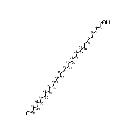 OCCCCCCCCCCCCCCCCCCCCCCCCCCCCCCCCCCCCCl